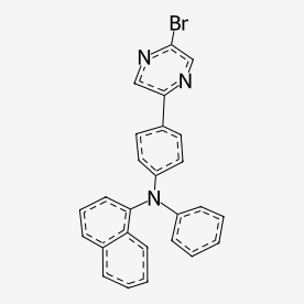 Brc1cnc(-c2ccc(N(c3ccccc3)c3cccc4ccccc34)cc2)cn1